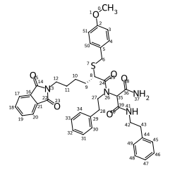 COc1ccc(CS[C@@H](CCCCN2C(=O)c3ccccc3C2=O)C(=O)N(CCc2ccccc2)C(C(N)=O)C(=O)NCCc2ccccc2)cc1